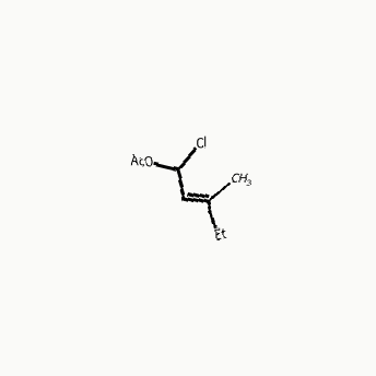 CCC(C)=CC(Cl)OC(C)=O